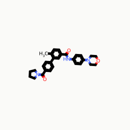 Cc1ccc(C(=O)Nc2ccc(N3CCOCC3)cc2)cc1-c1ccc(C(=O)N2CCCC2)cc1